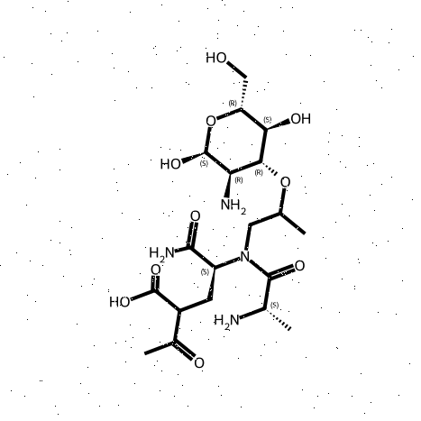 CC(=O)C(C[C@@H](C(N)=O)N(CC(C)O[C@@H]1[C@@H](N)[C@@H](O)O[C@H](CO)[C@H]1O)C(=O)[C@H](C)N)C(=O)O